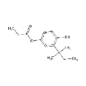 CCC(=O)Oc1ccc(O)c(C(C)(C)CC)c1